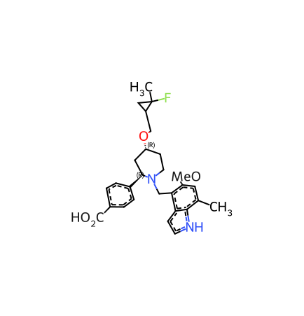 COc1cc(C)c2[nH]ccc2c1CN1CC[C@@H](OCC2CC2(C)F)C[C@@H]1c1ccc(C(=O)O)cc1